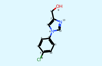 OCc1cn(-c2ccc(Cl)cc2)cn1